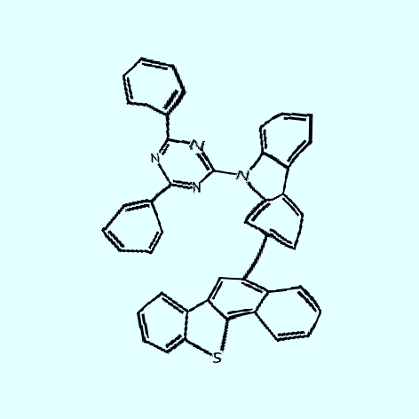 c1ccc(-c2nc(-c3ccccc3)nc(-n3c4ccccc4c4ccc(-c5cc6c7ccccc7sc6c6ccccc56)cc43)n2)cc1